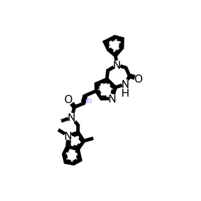 Cc1c(CN(C)C(=O)/C=C/c2cnc3c(c2)CN(c2ccccc2)CC(=O)N3)n(C)c2ccccc12